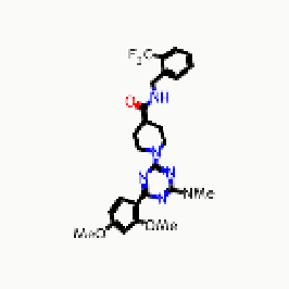 CNc1nc(-c2ccc(OC)cc2OC)nc(N2CCC(C(=O)NCc3ccccc3C(F)(F)F)CC2)n1